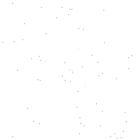 CCC.CCN(CC)CC